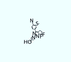 CSc1cc(-c2nc(N3CC(O)C3)nc3c2CCC3(F)F)ccc1C#N